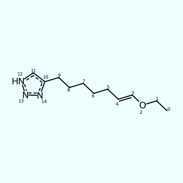 CCOC=CCCCCCc1c[nH]nn1